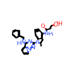 Cc1cc2c(NC(=O)CCO)cccc2n1-c1nc(NCc2ccccc2)c2cccn2n1